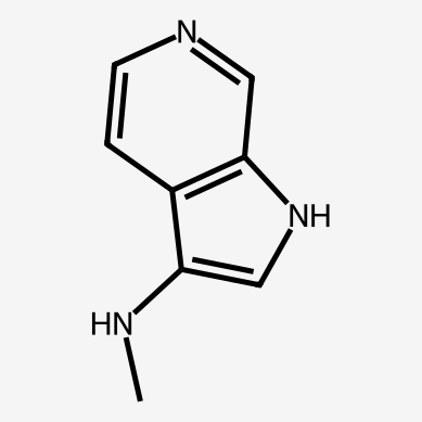 CNc1c[nH]c2cnccc12